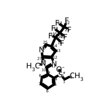 CC[S+]([O-])c1ccccc1-c1nc2cc(C(F)(F)C(F)(F)C(F)(F)F)cnc2n1C